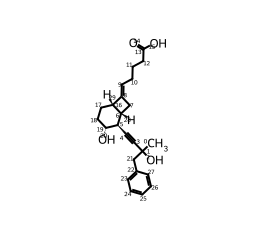 CC(O)(C#C[C@@H]1[C@H]2C/C(=C\CCCC(=O)O)[C@H]2CC[C@H]1O)Cc1ccccc1